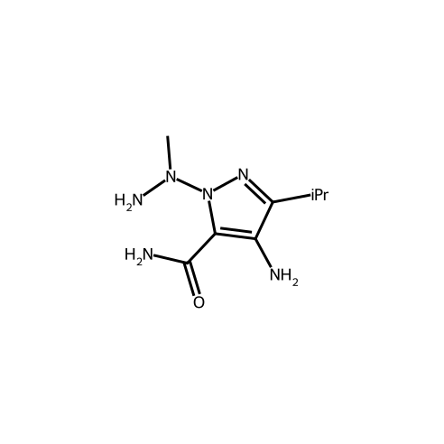 CC(C)c1nn(N(C)N)c(C(N)=O)c1N